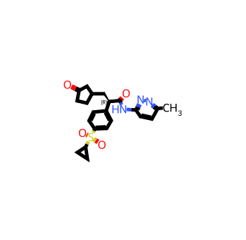 Cc1ccc(NC(=O)[C@H](CC2CCC(=O)C2)c2ccc(S(=O)(=O)C3CC3)cc2)nn1